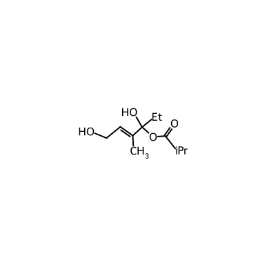 CCC(O)(OC(=O)C(C)C)/C(C)=C/CO